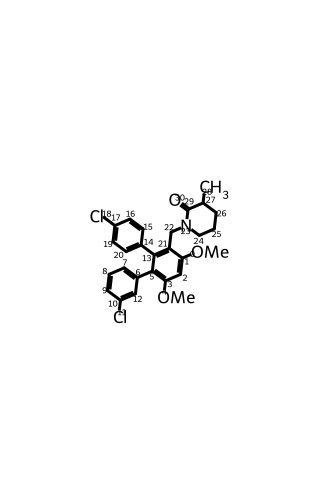 COc1cc(OC)c(-c2cccc(Cl)c2)c(-c2ccc(Cl)cc2)c1CN1CCCC(C)C1=O